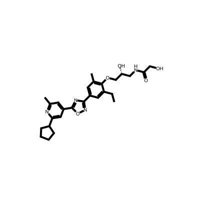 CCc1cc(-c2noc(-c3cc(C)nc(C4CCCC4)c3)n2)cc(C)c1OC[C@H](O)CNC(=O)CO